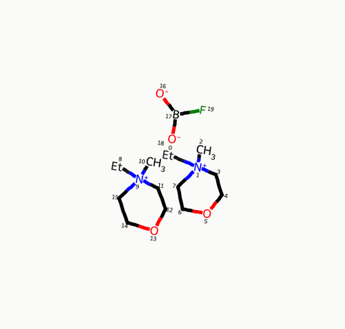 CC[N+]1(C)CCOCC1.CC[N+]1(C)CCOCC1.[O-]B([O-])F